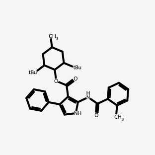 Cc1ccccc1C(=O)Nc1[nH]cc(-c2ccccc2)c1C(=O)OC1C(C(C)(C)C)CC(C)CC1C(C)(C)C